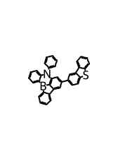 c1ccc(N2c3ccccc3B3c4ccccc4-c4cc(-c5ccc6sc7ccccc7c6c5)cc2c43)cc1